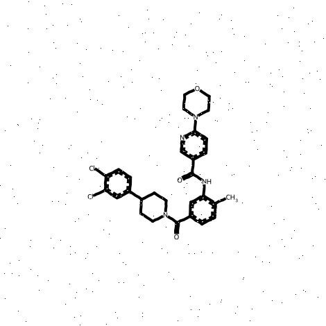 Cc1ccc(C(=O)N2CCC(c3ccc(Cl)c(Cl)c3)CC2)cc1NC(=O)c1ccc(N2CCOCC2)nc1